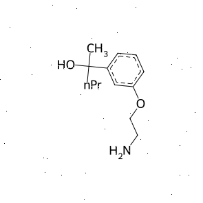 CCCC(C)(O)c1cccc(OCCN)c1